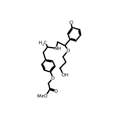 COC(=O)COc1ccc(CC(C)NCC(OCCCO)c2cccc(Cl)c2)cc1